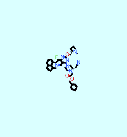 Cc1cccc2cccc(-c3ncc4c(N5CCN(CC(=O)OCc6ccccc6)[C@@H](CC#N)C5)nc(OC[C@H]5CCCN5C)nc4c3F)c12